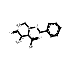 CCN(OCc1ccccc1)C(C(=O)O)C(C)C=O